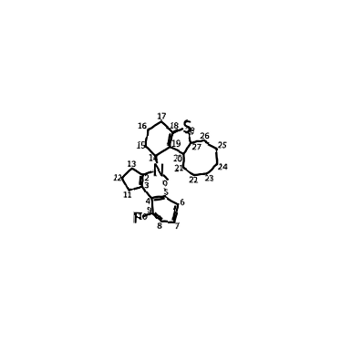 CN(C1=C(c2ccccc2F)CCC1)C1CCCC2=C1C1CCCCCCC1S2